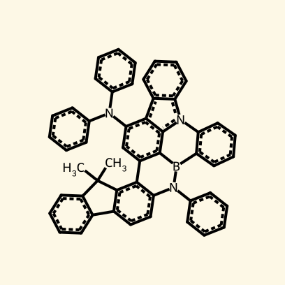 CC1(C)c2ccccc2-c2ccc3c(c21)-c1cc(N(c2ccccc2)c2ccccc2)c2c4ccccc4n4c2c1B(c1ccccc1-4)N3c1ccccc1